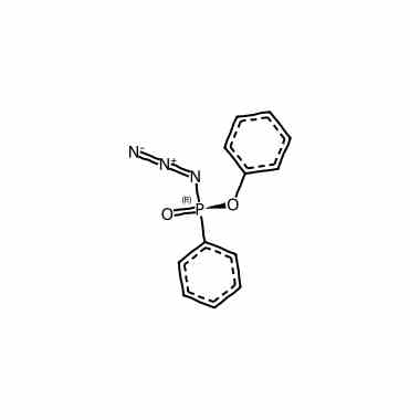 [N-]=[N+]=N[P@](=O)(Oc1ccccc1)c1ccccc1